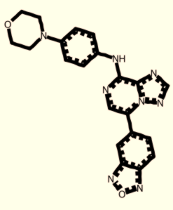 c1nc2c(Nc3ccc(N4CCOCC4)cc3)ncc(-c3ccc4nonc4c3)n2n1